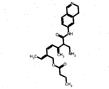 C=C(/C=C\C(=C/C)COC(=O)CCC)C(CN)C(=O)Nc1ccc2c(c1)CCN=C2